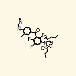 C=N/C=N\c1ccc(C(=O)c2c(F)c(F)cc(N(S(=O)(=O)CCC)S(=O)(=O)CCC)c2F)cc1C